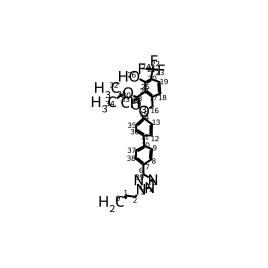 C=CCn1nnc(-c2ccc(-c3ccc(OCc4ccc(C(F)(F)F)c(O)c4C(=O)OC(C)(C)C)cc3)cc2)n1